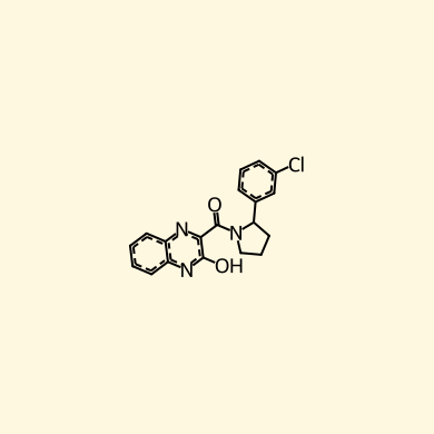 O=C(c1nc2ccccc2nc1O)N1CCCC1c1cccc(Cl)c1